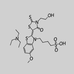 CCN(CC)CC.COc1ccc2c(c1)N(CCCCS(=O)(=O)O)C(=C1SC(=S)N(CCO)C1=O)S2